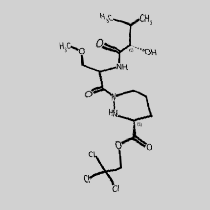 COCC(NC(=O)[C@@H](O)C(C)C)C(=O)N1CCC[C@@H](C(=O)OCC(Cl)(Cl)Cl)N1